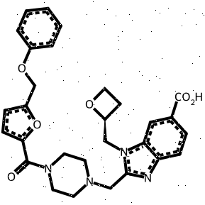 O=C(O)c1ccc2nc(CN3CCN(C(=O)c4ccc(COc5ccccc5)o4)CC3)n(C[C@@H]3CCO3)c2c1